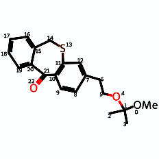 COC(C)(C)OCCc1ccc2c(c1)SCc1ccccc1C2=O